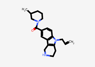 C=CCn1c2c(c3cc(C(=O)N4CCCC(C)C4)ccc31)CNCC2